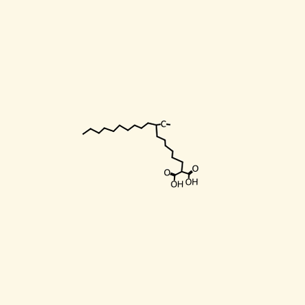 CCCCCCCCCCC(CC)CCCCCCC(C(=O)O)C(=O)O